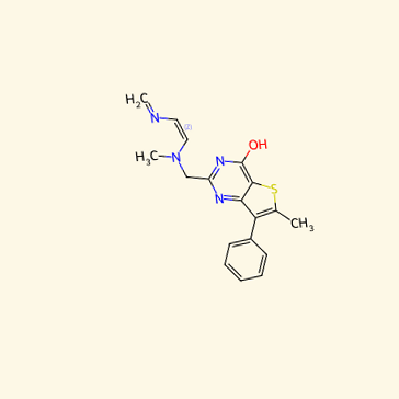 C=N/C=C\N(C)Cc1nc(O)c2sc(C)c(-c3ccccc3)c2n1